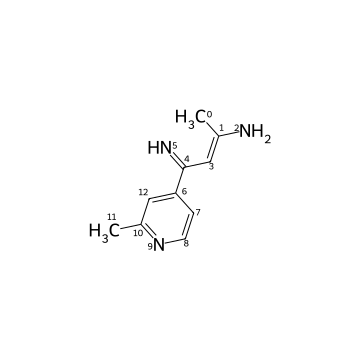 C/C(N)=C\C(=N)c1ccnc(C)c1